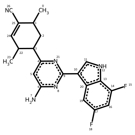 CC1CC(c2cc(N)nc(-c3c[nH]c4c(F)cc(F)cc34)n2)C(C)C=C1C#N